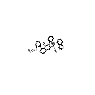 COc1ccccc1-c1cccc2cc([C@H](C)Nc3nccc4scnc34)n(-c3ccccc3)c(=O)c12